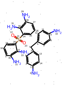 Nc1ccc(Cc2ccc(N)cc2)cc1.Nc1cccc(S(=O)(=O)c2cccc(N)c2N)c1N